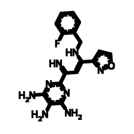 N=C(/C=C(\NCc1ccccc1F)c1ccon1)c1nc(N)c(N)c(N)n1